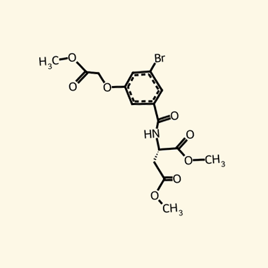 COC(=O)COc1cc(Br)cc(C(=O)N[C@@H](CC(=O)OC)C(=O)OC)c1